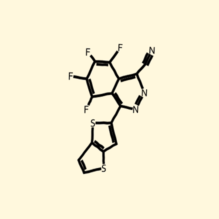 N#Cc1nnc(-c2cc3sccc3s2)c2c(F)c(F)c(F)c(F)c12